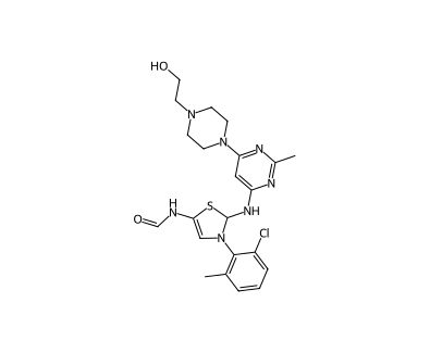 Cc1nc(NC2SC(NC=O)=CN2c2c(C)cccc2Cl)cc(N2CCN(CCO)CC2)n1